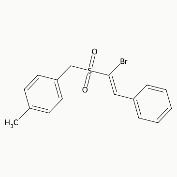 Cc1ccc(CS(=O)(=O)C(Br)=Cc2ccccc2)cc1